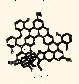 Cc1cc2c3c(c1)N(c1c(F)cccc1F)c1cc4c(cc1B3c1cc3c(cc1O2)N(c1c(F)cccc1F)c1cc(C)cc2c1B3c1sc3cc(F)cc(F)c3c1O2)B1c2sc3cc(F)cc(F)c3c2Oc2cc(C)cc(c21)N4c1c(F)cccc1F